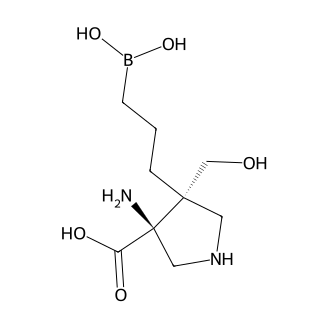 N[C@]1(C(=O)O)CNC[C@]1(CO)CCCB(O)O